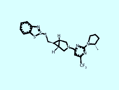 C[C@H]1CCCN1c1nc(N2C[C@@H]3[C@@H](CSS4=Nc5ccccc5S4)[C@@H]3C2)cc(C(F)(F)F)n1